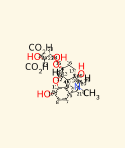 CN1CC[C@]23c4c5ccc(O)c4O[C@H]2C(=O)CC[C@@]3(O)[C@H]1C5.O=C(O)C(O)C(O)C(=O)O